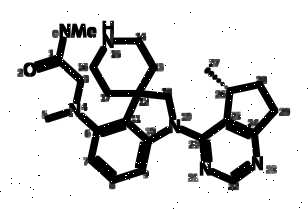 CNC(=O)CN(C)c1cccc2c1C1(CCNCC1)CN2c1ncnc2c1[C@H](C)CC2